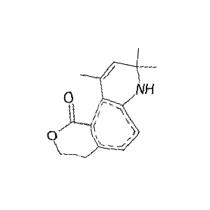 CC1=CC(C)(C)Nc2ccc3c(c21)C(=O)OCC3